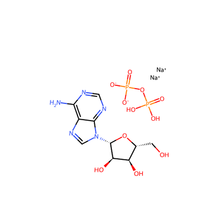 Nc1ncnc2c1ncn2[C@@H]1O[C@H](CO)[C@@H](O)[C@H]1O.O=P([O-])([O-])OP(=O)(O)O.[Na+].[Na+]